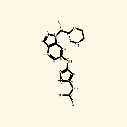 C[C@H]([C@H]1COCCO1)n1ncc2ncc(Nc3cc(OC(F)F)[nH]n3)nc21